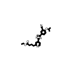 CCOC(=O)CCCc1cc(-c2noc(-c3ccc(OC(C)C)c(C#N)c3)n2)ccn1